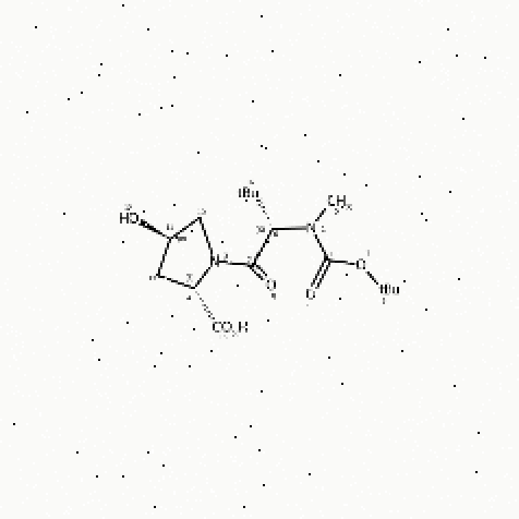 CN(C(=O)OC(C)(C)C)[C@H](C(=O)N1C[C@H](O)C[C@H]1C(=O)O)C(C)(C)C